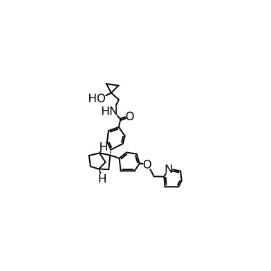 O=C(NCC1(O)CC1)c1ccc([C@]2(c3ccc(OCc4ccccn4)cc3)C[C@@H]3CC[C@H]2C3)cc1